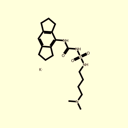 CN(C)CCCCNS(=O)(=O)NC(=O)Nc1c2c(cc3c1CCC3)CCC2.[K]